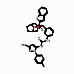 Cc1ccc(-n2nc(C(C)(C)C)cc2NC(=O)Nc2cccc(CC3CC4CCC(C3)N4C(=O)c3cc4ccccc4s3)c2)cc1